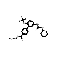 CCOC(=O)c1ccc(-c2cc(NC(=O)NC3CCCCC3)ccc2OC(F)(F)F)cc1